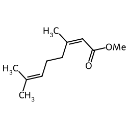 COC(=O)C=C(C)CCC=C(C)C